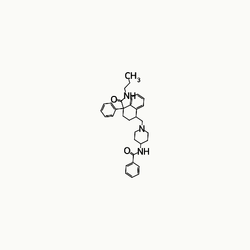 CCCNC(=O)C1(c2ccccc2)CCC(CN2CCC(NC(=O)c3ccccc3)CC2)c2ccccc21